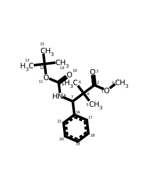 COC(=O)C(C)(C)C(NC(=O)OC(C)(C)C)c1ccccc1